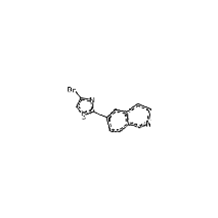 Brc1csc(-c2ccc3cnccc3c2)n1